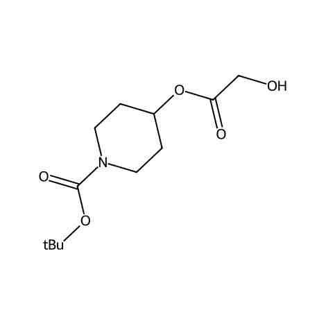 CC(C)(C)OC(=O)N1CCC(OC(=O)CO)CC1